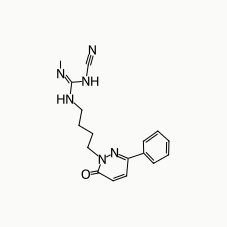 C/N=C(\NC#N)NCCCCn1nc(-c2ccccc2)ccc1=O